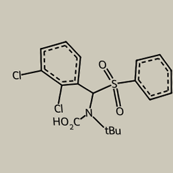 CC(C)(C)N(C(=O)O)C(c1cccc(Cl)c1Cl)S(=O)(=O)c1ccccc1